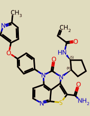 C=CC(=O)N[C@H]1CCC[C@H]1N1C(=O)N(c2ccc(Oc3ccc(C)nc3)cc2)c2ccnc3sc(C(N)=O)c1c23